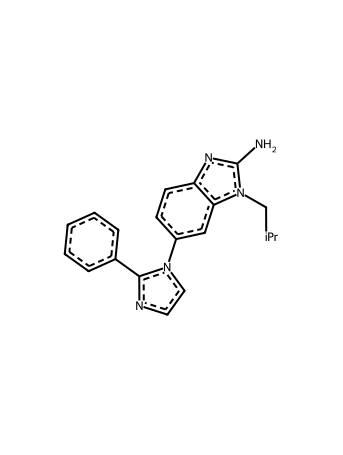 CC(C)Cn1c(N)nc2ccc(-n3ccnc3-c3ccccc3)cc21